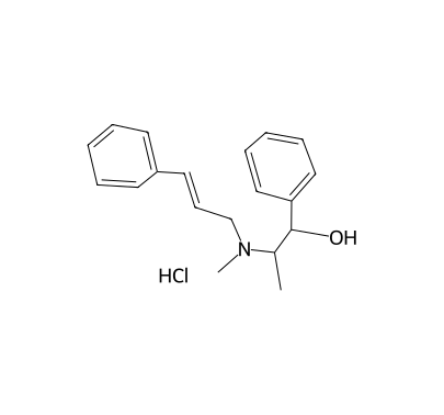 CC(C(O)c1ccccc1)N(C)CC=Cc1ccccc1.Cl